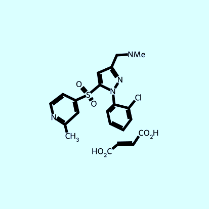 CNCc1cc(S(=O)(=O)c2ccnc(C)c2)n(-c2ccccc2Cl)n1.O=C(O)/C=C/C(=O)O